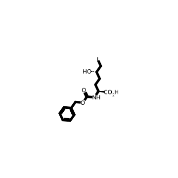 O=C(N[C@@H](CC[C@H](O)CI)C(=O)O)OCc1ccccc1